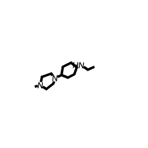 CCNC1CCC(N2CCN(C)CC2)CC1